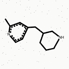 Cc1cc(CC2CCCNC2)ccn1